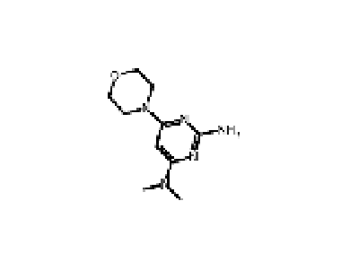 CN(C)c1cc(N2CCOCC2)nc(N)n1